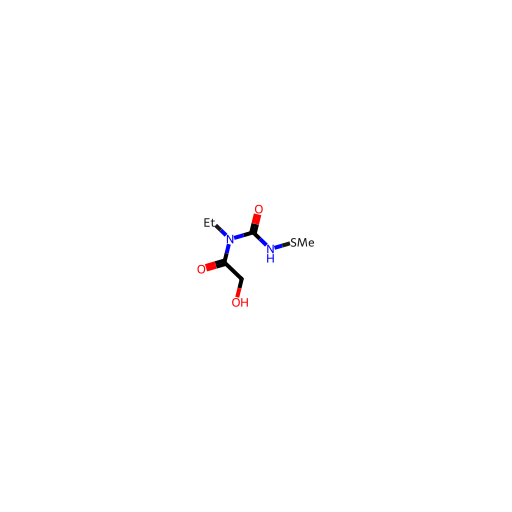 CCN(C(=O)CO)C(=O)NSC